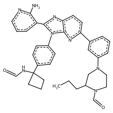 CCCC1CN(c2cccc(-c3ccc4nc(-c5cccnc5N)n(-c5ccc(C6(NC=O)CCC6)cc5)c4n3)c2)CCN1C=O